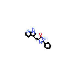 O=C1NC(c2ccccc2)=N/C1=C/c1c[nH]c2ncccc12